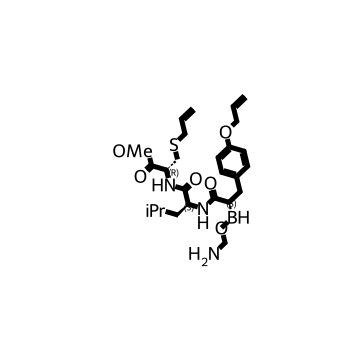 C=CCOc1ccc(C[C@H](BOCN)C(=O)N[C@@H](CC(C)C)C(=O)N[C@@H](CSCC=C)C(=O)OC)cc1